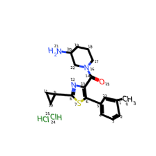 Cc1cccc(-c2sc(C3CC3)nc2C(=O)N2CCCC(N)C2)c1.Cl.Cl